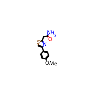 COc1ccc(-c2csc(CC(N)=O)n2)cc1